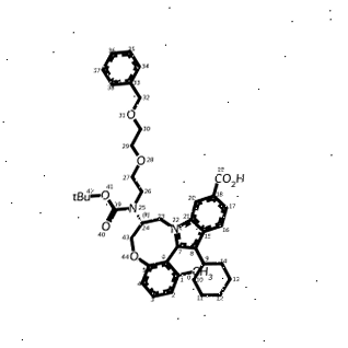 Cc1cccc2c1-c1c(C3CCCCC3)c3ccc(C(=O)O)cc3n1C[C@@H](N(CCOCCOCc1ccccc1)C(=O)OC(C)(C)C)CO2